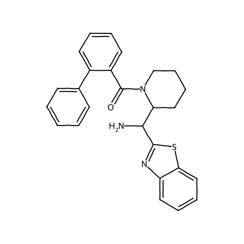 NC(c1nc2ccccc2s1)C1CCCCN1C(=O)c1ccccc1-c1ccccc1